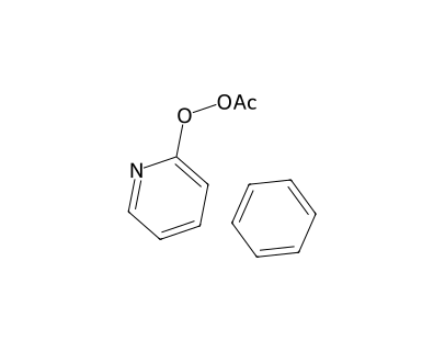 CC(=O)OOc1ccccn1.c1ccccc1